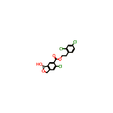 O=C(OCCc1ccc(Cl)cc1Cl)c1cc2c(cc1Cl)COB2O